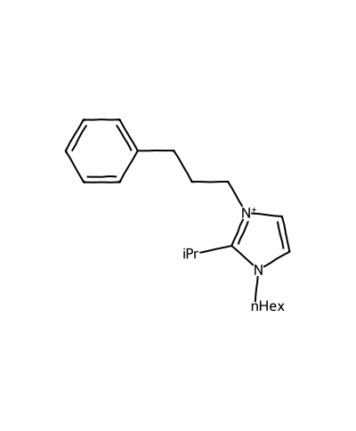 CCCCCCn1cc[n+](CCCc2ccccc2)c1C(C)C